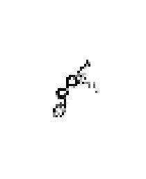 CN1SN(CC2CC2)c2ccc(-c3cccc(CN4CCOCC4)c3)cc21